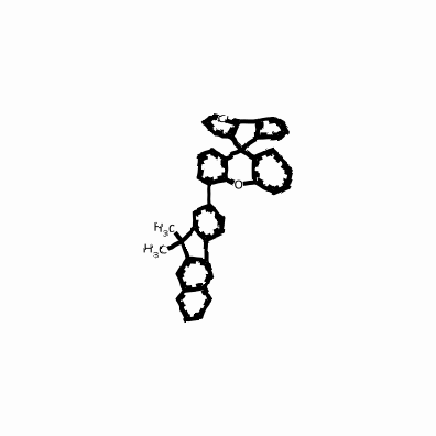 CC1(C)c2cc(-c3cccc4c3Oc3ccccc3C43c4ccccc4-c4ccccc43)ccc2-c2cc3ccccc3cc21